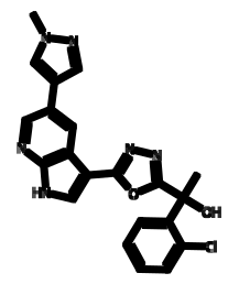 Cn1cc(-c2cnc3[nH]cc(-c4nnc(C(C)(O)c5ccccc5Cl)o4)c3c2)cn1